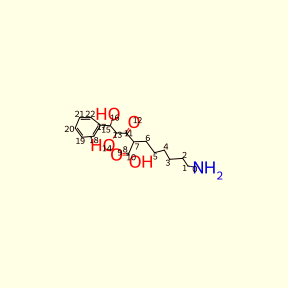 NCCCCCCC(C(=O)O)C(=O)C(O)C(O)c1ccccc1